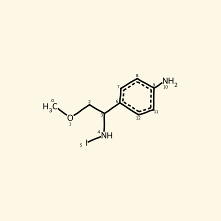 COCC(NI)c1ccc(N)cc1